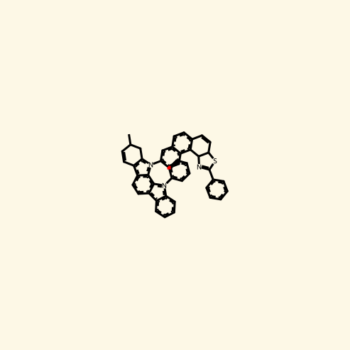 CC1C=Cc2c(n(-c3ccc4c5c(ccc4c3)C=CC3SC(c4ccccc4)=NC53)c3c2ccc2c4ccccc4n(-c4ccccc4)c23)C1